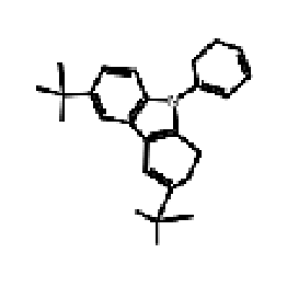 CC(C)(C)C1=Cc2c(n(C3=CC=CCC3)c3ccc(C(C)(C)C)cc23)CC1